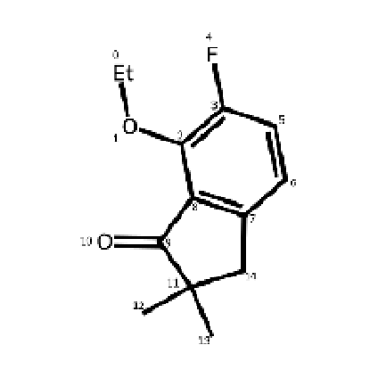 CCOc1c(F)ccc2c1C(=O)C(C)(C)C2